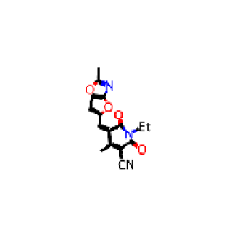 CCN1C(=O)C(C#N)=C(C)/C(=C/c2cc3oc(C)nc3o2)C1=O